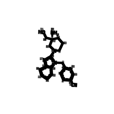 N#Cc1ccc(Cn2c(N3CCC[C@](N)(CO)C3)nc3ccccc32)nc1